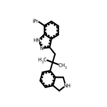 CC(C)c1cccc2c(CC(C)(C)c3cccc4c3CNC4)n[nH]c12